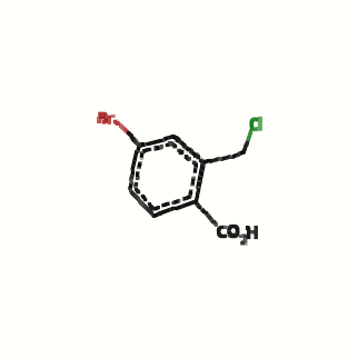 O=C(O)c1ccc(Br)cc1CCl